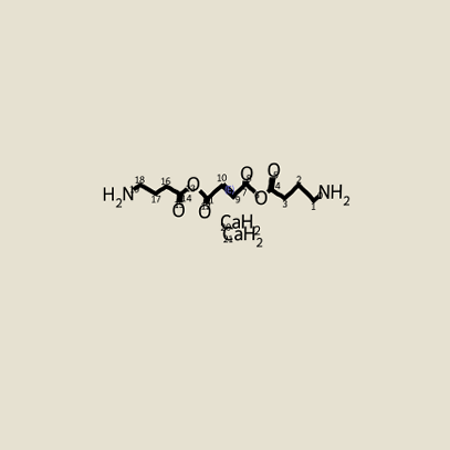 NCCCC(=O)OC(=O)/C=C/C(=O)OC(=O)CCCN.[CaH2].[CaH2]